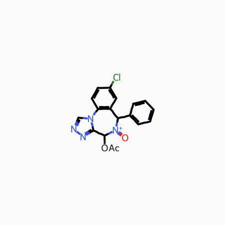 CC(=O)OC1c2nncn2-c2ccc(Cl)cc2C(c2ccccc2)[N+]1=O